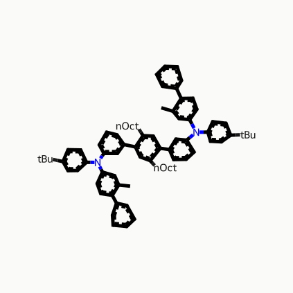 CCCCCCCCc1cc(-c2cccc(N(c3ccc(C(C)(C)C)cc3)c3ccc(-c4ccccc4)c(C)c3)c2)c(CCCCCCCC)cc1-c1cccc(N(c2ccc(C(C)(C)C)cc2)c2ccc(-c3ccccc3)c(C)c2)c1